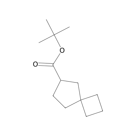 CC(C)(C)OC(=O)C1CCC2(CCC2)C1